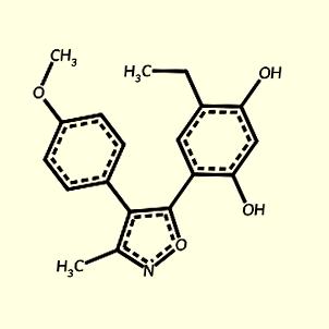 CCc1cc(-c2onc(C)c2-c2ccc(OC)cc2)c(O)cc1O